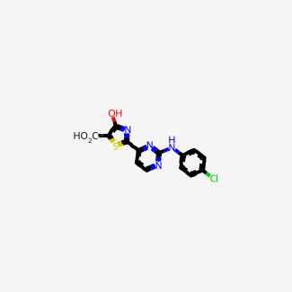 O=C(O)c1sc(-c2ccnc(Nc3ccc(Cl)cc3)n2)nc1O